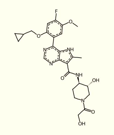 COc1cc(-c2ncnc3c(C(=O)N[C@@H]4CCN(C(=O)CO)C[C@H]4O)c(C)[nH]c23)c(OCC2CC2)cc1F